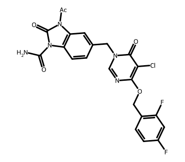 CC(=O)n1c(=O)n(C(N)=O)c2ccc(Cn3cnc(OCc4ccc(F)cc4F)c(Cl)c3=O)cc21